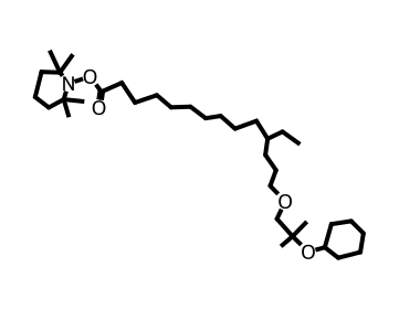 CCC(CCCCCCCCCC(=O)ON1C(C)(C)CCCC1(C)C)CCCOCC(C)(C)OC1CCCCC1